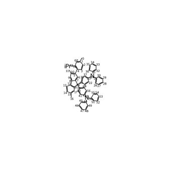 Cc1ccc(-c2cc3c(cc2C)-c2ccc(C)cc2C3(c2ccc(N(c3ccccc3)c3ccccc3)cc2)c2ccc(N(c3ccccc3)c3ccccc3)cc2)c(C(C)C)c1